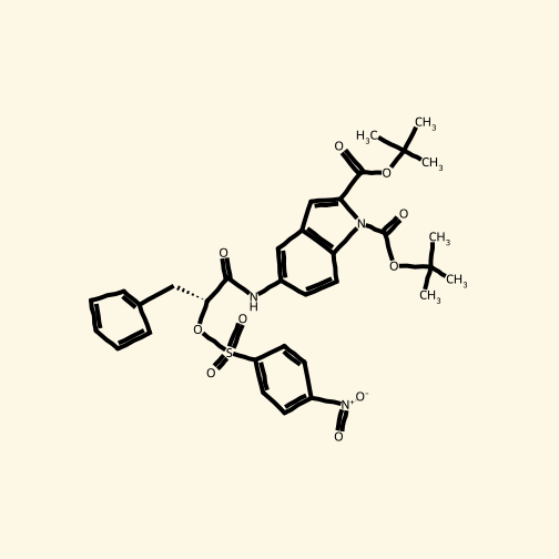 CC(C)(C)OC(=O)c1cc2cc(NC(=O)[C@@H](Cc3ccccc3)OS(=O)(=O)c3ccc([N+](=O)[O-])cc3)ccc2n1C(=O)OC(C)(C)C